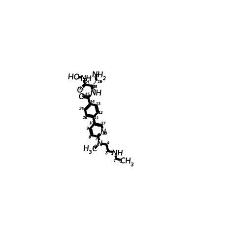 CCNCCN(C)c1ccc(-c2ccc(C(=O)N[C@@H](CN)C(=O)NO)cc2)cn1